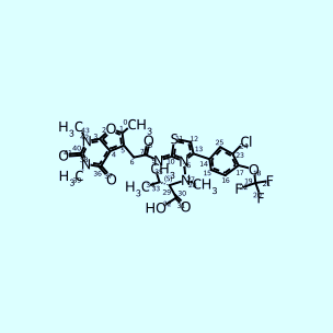 Cc1oc2c(c1CC(=O)N=c1scc(-c3ccc(OC(F)(F)F)c(Cl)c3)n1N(C)[C@H](C(=O)O)C(C)C)c(=O)n(C)c(=O)n2C